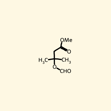 COC(=O)CC(C)(C)OC=O